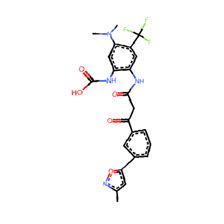 Cc1cc(-c2cccc(C(=O)CC(=O)Nc3cc(C(F)(F)F)c(N(C)C)cc3NC(=O)O)c2)on1